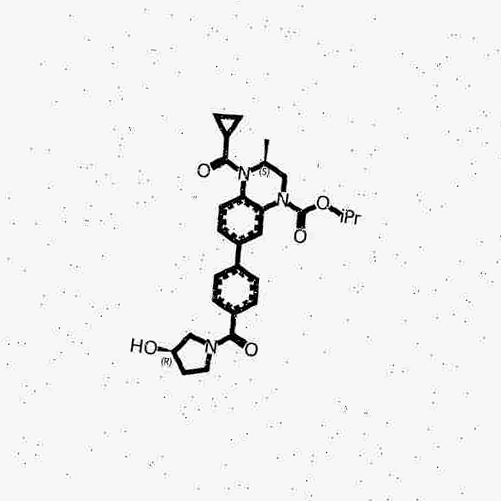 CC(C)OC(=O)N1C[C@H](C)N(C(=O)C2CC2)c2ccc(-c3ccc(C(=O)N4CC[C@@H](O)C4)cc3)cc21